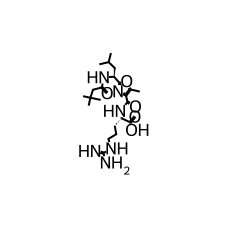 Cc1oc([C@H](CC(C)C)NC(=O)CC(C)(C)C)nc1C(=O)N[C@@H](CCCNC(=N)N)C(=O)O